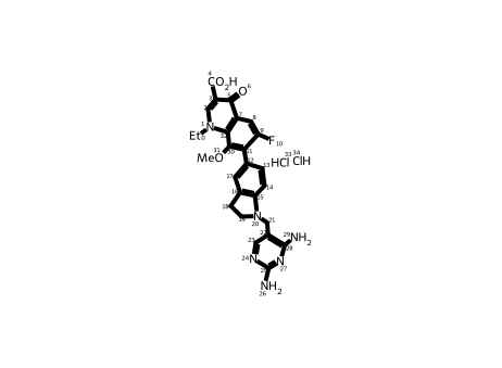 CCn1cc(C(=O)O)c(=O)c2cc(F)c(-c3ccc4c(c3)CCN4Cc3cnc(N)nc3N)c(OC)c21.Cl.Cl